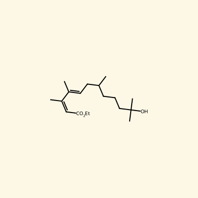 CCOC(=O)C=C(C)C(C)=CCC(C)CCCC(C)(C)O